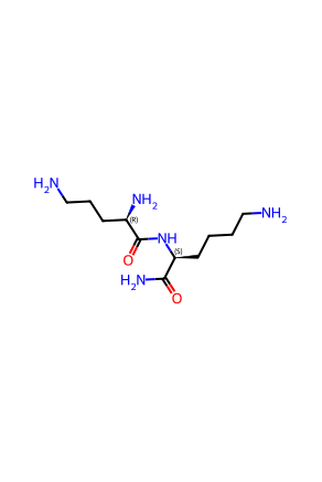 NCCCC[C@H](NC(=O)[C@H](N)CCCN)C(N)=O